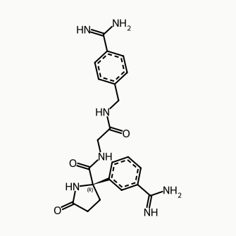 N=C(N)c1ccc(CNC(=O)CNC(=O)[C@]2(c3cccc(C(=N)N)c3)CCC(=O)N2)cc1